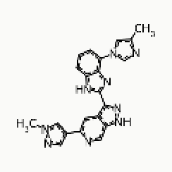 Cc1cn(-c2cccc3[nH]c(-c4n[nH]c5cnc(-c6cnn(C)c6)cc45)nc23)cn1